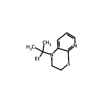 CCC(C)(C)N1CCSc2ncccc21